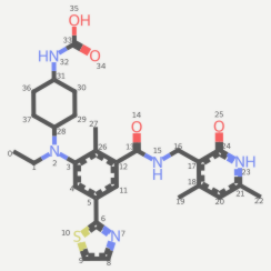 CCN(c1cc(-c2nccs2)cc(C(=O)NCc2c(C)cc(C)[nH]c2=O)c1C)C1CCC(NC(=O)O)CC1